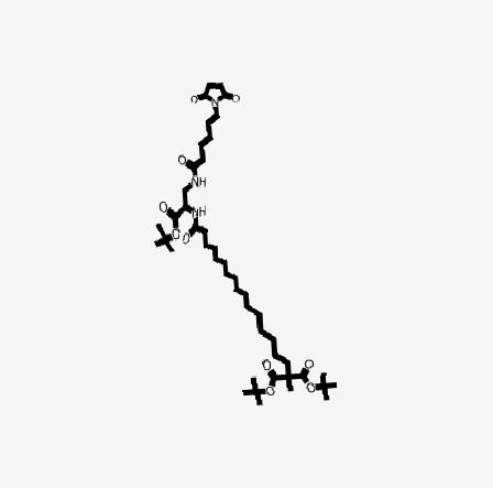 CC(C)(C)OC(=O)C(CNC(=O)CCCCCN1C(=O)C=CC1=O)NC(=O)CCCCCCCCCCCCCCCC(C)(C(=O)OC(C)(C)C)C(=O)OC(C)(C)C